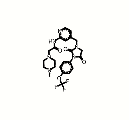 CN1CCN(CC(=O)Nc2cc(CN3CC(=O)N(c4ccc(OC(F)(F)F)cc4)C3=O)ccn2)CC1